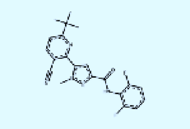 Cn1nc(C(=O)Nc2c(F)cccc2F)cc1-c1nc(C(C)(C)C)ccc1C#N